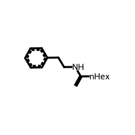 C=C(CCCCCC)NCCc1ccccc1